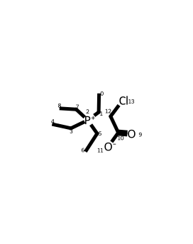 CC[P+](CC)(CC)CC.O=C([O-])CCl